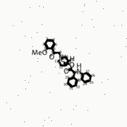 COc1ccccc1C(=O)C[N+]12CCC(CC1)[C@@H](OC(=O)[C@H](Nc1ccccc1)c1ccccc1)C2